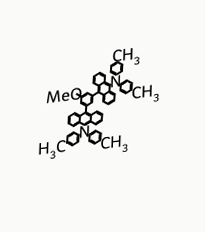 COc1cc(-c2c3ccccc3c(N(c3ccc(C)cc3)c3ccc(C)cc3)c3ccccc23)cc(-c2c3ccccc3c(N(c3ccc(C)cc3)c3ccc(C)cc3)c3ccccc23)c1